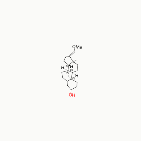 COC=C1CC[C@H]2[C@@H]3CCC4CC(O)CC[C@]4(C)[C@@H]3CC[C@]12C